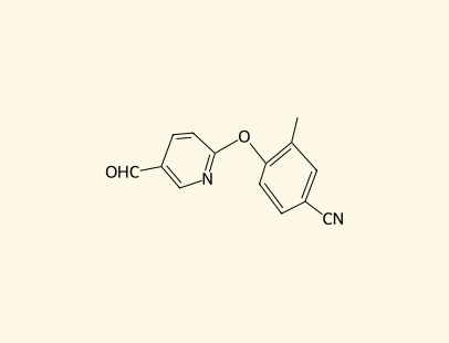 Cc1cc(C#N)ccc1Oc1ccc(C=O)cn1